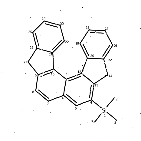 C[Si](C)(C)c1cc2ccc3c(c2c2c1Cc1ccccc1-2)-c1ccccc1C3